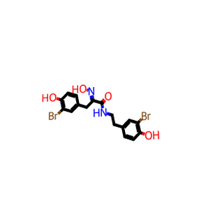 O=C(NCCc1ccc(O)c(Br)c1)/C(Cc1ccc(O)c(Br)c1)=N/O